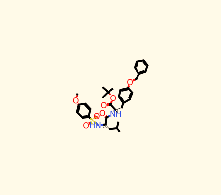 COc1ccc(S(=O)(=O)N[C@@H](CC(C)C)C(=O)N[C@@H](Cc2ccc(OCc3ccccc3)cc2)C(=O)OC(C)(C)C)cc1